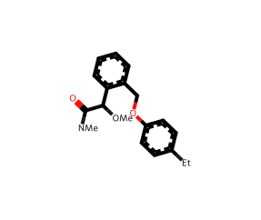 CCc1ccc(OCc2ccccc2C(OC)C(=O)NC)cc1